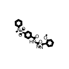 COc1ccccc1-c1nnc(NC(=O)c2ccc(S(=O)(=O)N(C)c3ccccc3)cc2)o1